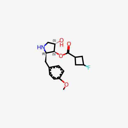 COc1ccc(C[C@H]2NC[C@H](O)[C@H]2OC(=O)C2CC(F)C2)cc1